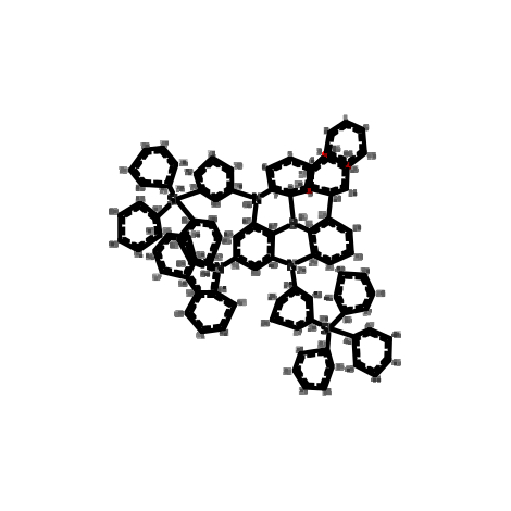 c1ccc(-c2ccc3c(c2)B2c4c(-c5ccccc5)cccc4N(c4cccc([Si](c5ccccc5)(c5ccccc5)c5ccccc5)c4)c4cc(-n5c6ccccc6c6ccccc65)cc(c42)N3c2cccc([Si](c3ccccc3)(c3ccccc3)c3ccccc3)c2)cc1